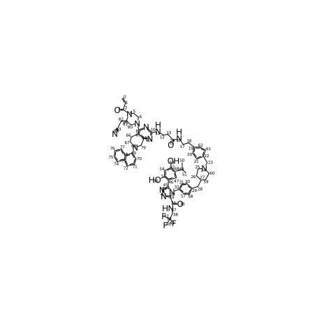 C=CC(=O)N1CCN(c2nc(NCCC(=O)NCCc3ccc(CN4CCC(Cc5ccc(-n6c(C(=O)NCC(F)(F)F)nnc6-c6cc(C(C)C)c(O)cc6O)cc5)CC4)cc3)nc3c2CCN(c2cccc4ccccc24)C3)C[C@H]1CC#N